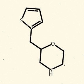 c1csc(CC2CNCCO2)c1